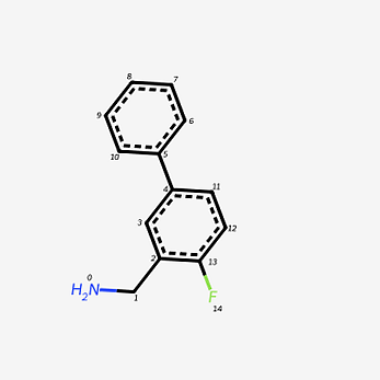 NCc1cc(-c2ccccc2)ccc1F